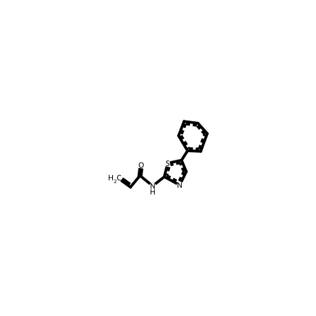 C=CC(=O)Nc1ncc(-c2ccccc2)s1